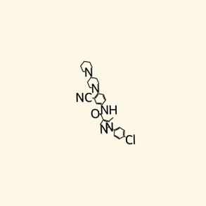 Cc1c(C(=O)Nc2ccc(N3CCC(N4CCCCC4)CC3)c(C#N)c2)cnn1-c1ccc(Cl)cc1